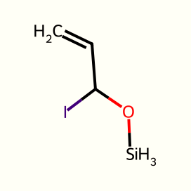 C=CC(I)O[SiH3]